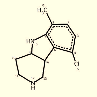 Cc1ccc(Cl)c2c1NC1CCNCC21